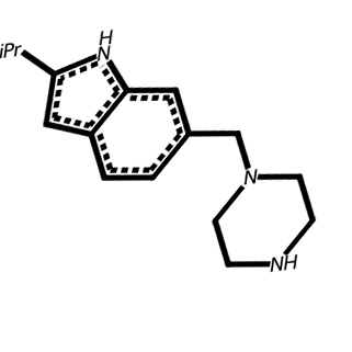 CC(C)c1cc2ccc(CN3CCNCC3)cc2[nH]1